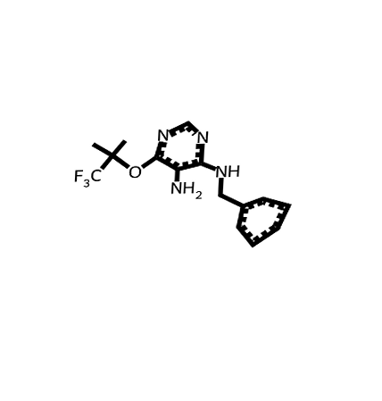 CC(C)(Oc1ncnc(NCc2ccccc2)c1N)C(F)(F)F